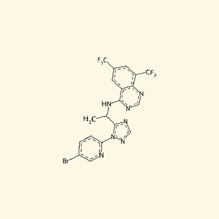 CC(Nc1ncnc2c(C(F)(F)F)cc(C(F)(F)F)cc12)c1ncnn1-c1ccc(Br)cn1